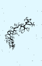 C=C(C(=O)Nc1ccc(F)c(NC(=O)C(F)(F)C(F)(F)C(F)(F)F)c1F)/C(Cl)=C\C=C(/C)NC(=O)C1C(c2cc(C(F)(F)F)cc(C(F)(F)F)c2)C1(Cl)Cl